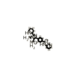 NC(=O)c1c(-c2ccc(C(=O)Nc3cccnn3)cc2)nc(C2CCCCN2)n1N